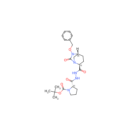 CC(C)(C)OC(=O)N1CCC[C@H]1C(=O)NNC(=O)[C@@H]1CC[C@@H]2CN1C(=O)N2OCc1ccccc1